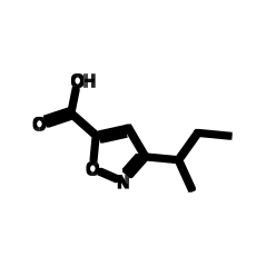 CCC(C)c1cc(C(=O)O)on1